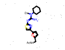 CCN(/C(N)=N/c1nc(-c2ccc(CNC(C)=O)o2)cs1)C1CCCCC1